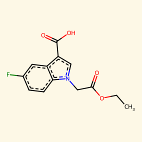 CCOC(=O)Cn1cc(C(=O)O)c2cc(F)ccc21